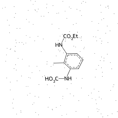 CCOC(=O)Nc1cccc(NC(=O)O)c1C